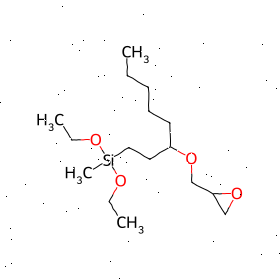 CCCCCC(CC[Si](C)(OCC)OCC)OCC1CO1